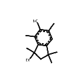 CCC1(C)CC(C)(C)c2cc(C)c(C#N)c(C)c21